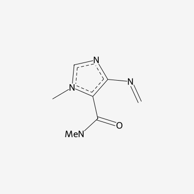 C=Nc1ncn(C)c1C(=O)NC